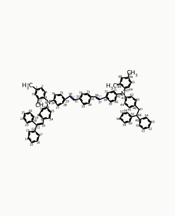 Cc1ccc(N(c2ccc(C=C(c3ccccc3)c3ccccc3)cc2)c2ccc(/C=C/c3ccc(/C=C/c4ccc(N(c5ccc(CC(c6ccccc6)c6ccccc6)cc5)c5ccc(C)cc5C)cc4)cc3)cc2)c(C)c1